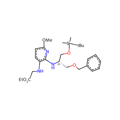 CCOC(=O)CNc1ccc(OC)nc1N[C@@H](COCc1ccccc1)CO[Si](C)(C)C(C)(C)C